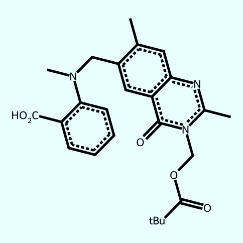 Cc1cc2nc(C)n(COC(=O)C(C)(C)C)c(=O)c2cc1CN(C)c1ccccc1C(=O)O